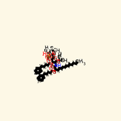 CCCCCCCCCCCCC(OC(=O)CCCCc1ccccc1)C(=O)N[C@H]1C(O[SiH](C)C)O[C@H](COC(C)(C)C)[C@@H](OS(=O)(=O)O)[C@@H]1OC(=O)CCCCc1ccccc1